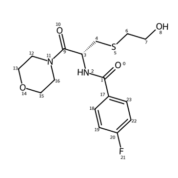 O=C(N[C@@H](CSCCO)C(=O)N1CCOCC1)c1ccc(F)cc1